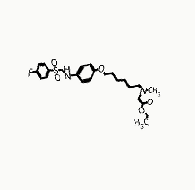 CCOC(=O)CN(C)CCCCCCOc1ccc(NCS(=O)(=O)c2ccc(F)cc2)cc1